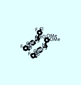 COc1cc(-c2csc(N3CCN(S(=O)(=O)c4cc(F)ccc4C)CC3)n2)cc(OC)c1OC.Cc1ccc(F)cc1S(=O)(=O)N1CCN(c2nc(-c3ccc(Cl)c(F)c3)cs2)CC1